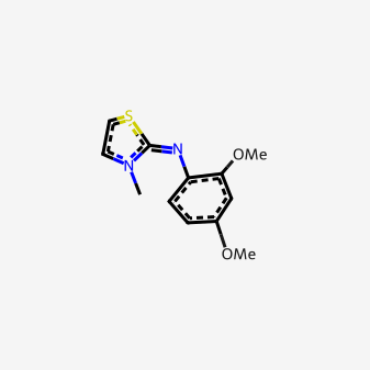 COc1ccc(N=c2sccn2C)c(OC)c1